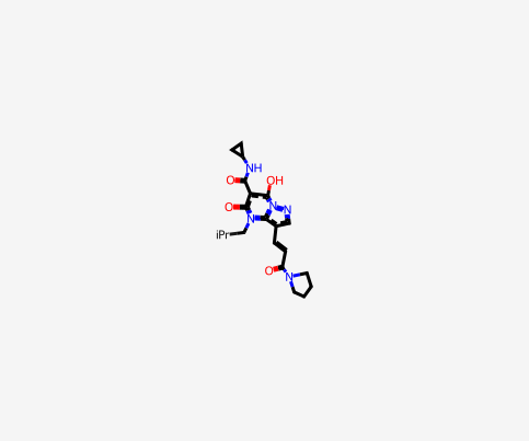 CC(C)Cn1c(=O)c(C(=O)NC2CC2)c(O)n2ncc(C=CC(=O)N3CCCC3)c12